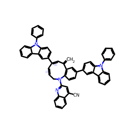 C=C1/C=C(c2ccc3c(c2)c2ccccc2n3-c2ccccc2)\C=C/CN(c2cc(C#N)c3ccccc3n2)c2ccc(-c3ccc4c(c3)c3ccccc3n4-c3ccccc3)cc21